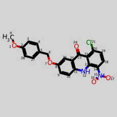 COc1ccc(COc2ccc3[nH]c4c([N+](=O)[O-])ccc(Cl)c4c(=O)c3c2)cc1